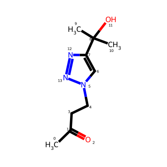 CC(=O)CCn1cc(C(C)(C)O)nn1